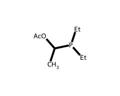 CCP(CC)C(C)OC(C)=O